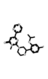 CC(C)Oc1cc(F)ccc1C1CN(c2nc(-c3ccncn3)cc(=O)n2C)CCO1